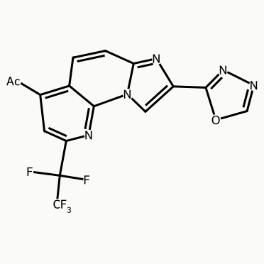 CC(=O)c1cc(C(F)(F)C(F)(F)F)nc2c1ccc1nc(-c3nnco3)cn12